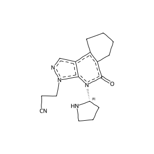 N#CCCn1ncc2c3c(c(=O)n([C@@H]4CCCN4)c21)CCCC3